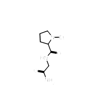 CCN1CCCC1C(=O)NCC(N)=O